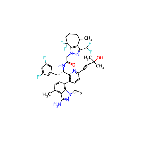 Cc1ccc(-c2ccc(C#CC(C)(C)O)nc2[C@H](Cc2cc(F)cc(F)c2)NC(=O)Cn2nc(C(F)F)c3c2C(F)(F)CCC[C@@H]3C)c2c1c(N)nn2C